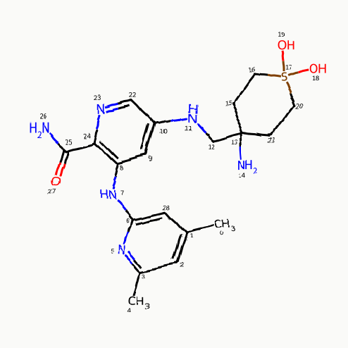 Cc1cc(C)nc(Nc2cc(NCC3(N)CCS(O)(O)CC3)cnc2C(N)=O)c1